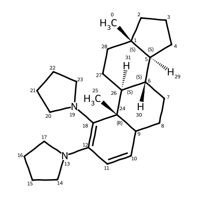 C[C@@]12CCC[C@H]1[C@@H]1CCC3C=CC(N4CCCC4)=C(N4CCCC4)[C@]3(C)[C@H]1CC2